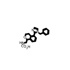 O=C(O)NCC1OCCc2c(-c3nccn3Cc3ccccc3)cccc21